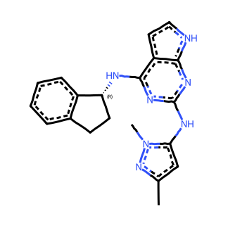 Cc1cc(Nc2nc(N[C@@H]3CCc4ccccc43)c3cc[nH]c3n2)n(C)n1